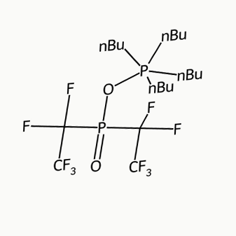 CCCCP(CCCC)(CCCC)(CCCC)OP(=O)(C(F)(F)C(F)(F)F)C(F)(F)C(F)(F)F